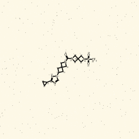 O=C(N1CC2(CC(n3cnc(C4CC4)n3)C2)C1)N1CC2(C1)CN(S(=O)(=O)C(F)(F)F)C2